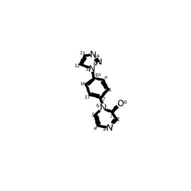 O=c1cnccn1-c1ccc(-n2ccnn2)cc1